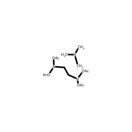 CC(=O)ON(CCN(OC(C)=O)OC(C)=O)OC(C)=O.CN(C)C